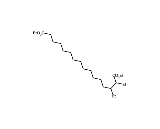 CCOC(=O)CCCCCCCCCCCCC(CC)C(CC)C(=O)OCC